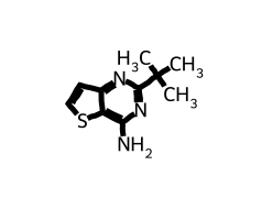 CC(C)(C)c1nc(N)c2sccc2n1